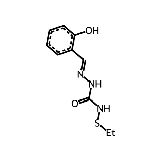 CCSNC(=O)N/N=C/c1ccccc1O